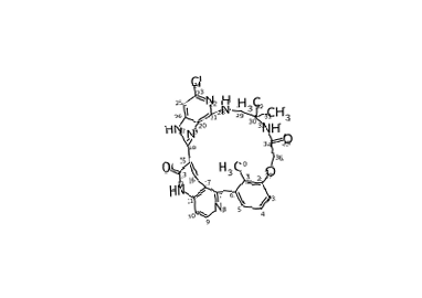 Cc1c2cccc1-c1nccc3[nH]c(=O)c(cc13)-c1nc3c(nc(Cl)cc3[nH]1)NCC(C)(C)NC(=O)CO2